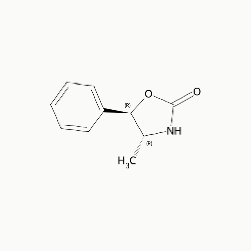 C[C@H]1NC(=O)O[C@@H]1c1ccccc1